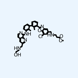 COC(=O)CCNCc1cc(Cl)c2oc(-c3cccc(-c4cccc(Nc5nccc6cc(CNCCO)cnc56)c4C)c3C)nc2c1